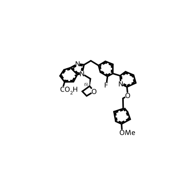 COc1ccc(COc2cccc(-c3ccc(Cc4nc5ccc(C(=O)O)cc5n4C[C@@H]4CCO4)cc3F)n2)cc1